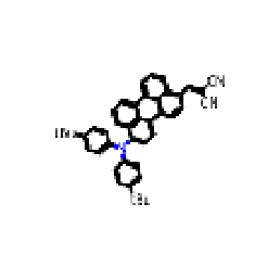 CC(C)(C)c1ccc(N(c2ccc(C(C)(C)C)cc2)c2ccc3c4ccc(C=C(C#N)C#N)c5cccc(c6cccc2c63)c54)cc1